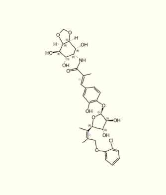 C/C(COc1ccccc1Cl)=C(\C)[C@H]1O[C@@H](Oc2ccc(/C=C(\C)C(=O)N[C@@H]3[C@H](O)[C@@H](O)[C@H]4OCO[C@H]4[C@@H]3O)cc2O)[C@@H](O)[C@@H]1O